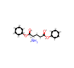 N[C@@H](CCC(=O)Oc1ccccc1)C(=O)Oc1ccccc1